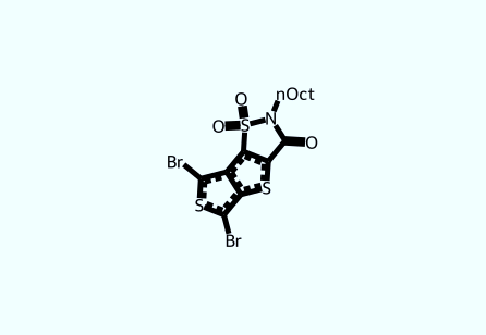 CCCCCCCCN1C(=O)c2sc3c(Br)sc(Br)c3c2S1(=O)=O